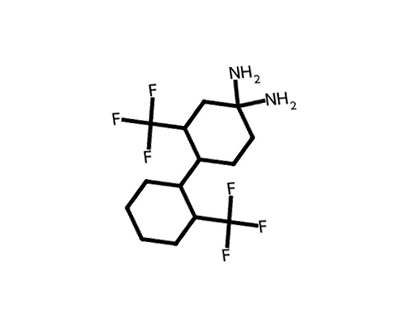 NC1(N)CCC(C2CCCCC2C(F)(F)F)C(C(F)(F)F)C1